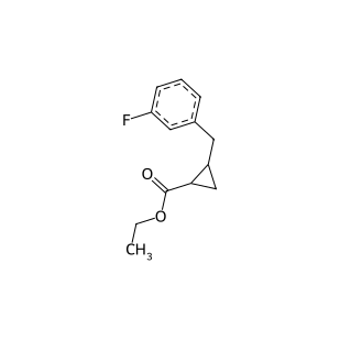 CCOC(=O)C1CC1Cc1cccc(F)c1